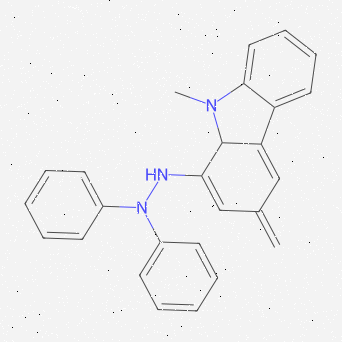 C=C1C=C(NN(c2ccccc2)c2ccccc2)C2C(=C1)c1ccccc1N2C